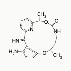 CC1CCNC(=O)OC(C)c2cccc(n2)C(=N)c2cc(ccc2N)O1